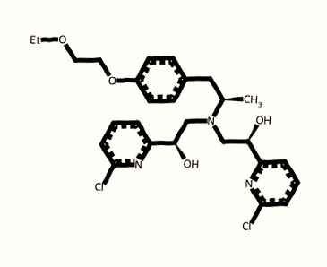 CCOCCOc1ccc(C[C@@H](C)N(C[C@@H](O)c2cccc(Cl)n2)C[C@@H](O)c2cccc(Cl)n2)cc1